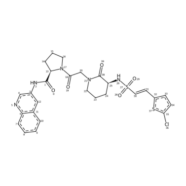 O=C(Nc1cnc2ccccc2c1)[C@H]1CCCN1C(=O)CN1CCC[C@H](NS(=O)(=O)/C=C/c2ccc(Cl)s2)C1=O